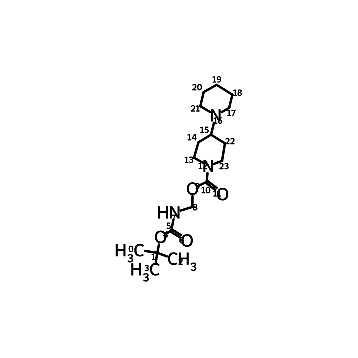 CC(C)(C)OC(=O)NCOC(=O)N1CCC(N2CCCCC2)CC1